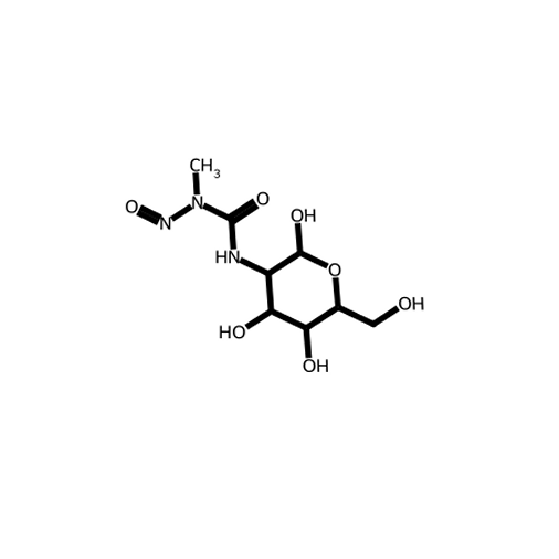 CN(N=O)C(=O)NC1C(O)OC(CO)C(O)C1O